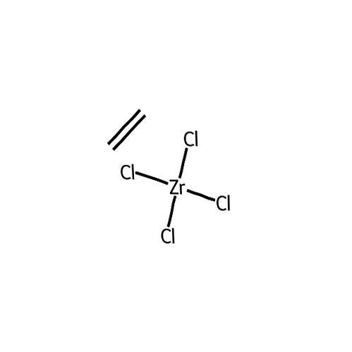 C=C.[Cl][Zr]([Cl])([Cl])[Cl]